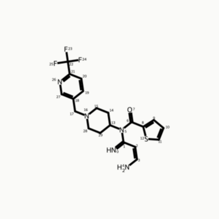 N=C(/C=C\N)N(C(=O)c1cccs1)C1CCN(Cc2ccc(C(F)(F)F)nc2)CC1